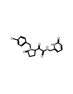 O=C(NCc1cccc(=O)[nH]1)C(=O)C1CCC(=O)N1Cc1ccc(Cl)cc1